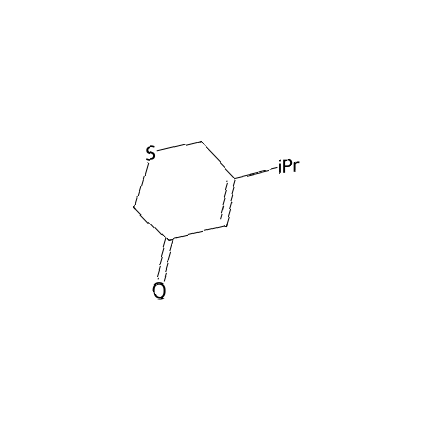 CC(C)C1=CC(=O)CSC1